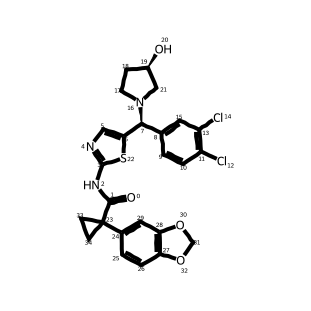 O=C(Nc1ncc([C@H](c2ccc(Cl)c(Cl)c2)N2CC[C@@H](O)C2)s1)C1(c2ccc3c(c2)OCO3)CC1